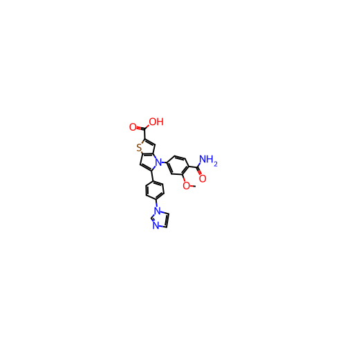 COc1cc(-n2c(-c3ccc(-n4ccnc4)cc3)cc3sc(C(=O)O)cc32)ccc1C(N)=O